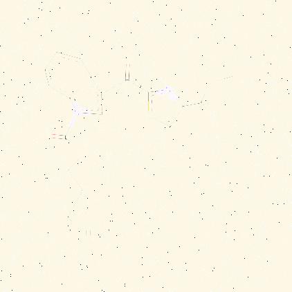 CCCCOC(=O)n1cc(C(=O)c2nc(C(=O)SC)cs2)c2ccccc21